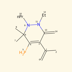 C=C(C)C1=C(P)C(C)(C)N(CCC)N(CC)C1=C